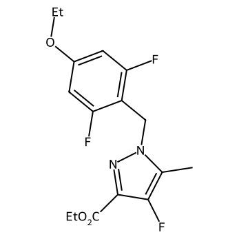 CCOC(=O)c1nn(Cc2c(F)cc(OCC)cc2F)c(C)c1F